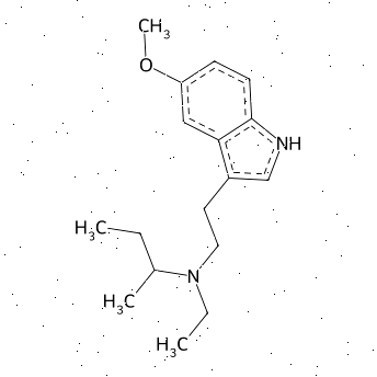 CCC(C)N(CC)CCc1c[nH]c2ccc(OC)cc12